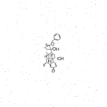 C[C@@H]1C[C@H]2[C@@H]3C[C@H](F)C4=CC(=O)C=C[C@]4(C)[C@@]3(F)[C@@H](O)C[C@]2(C)[C@@]1(O)C(=S)OCc1ccccc1